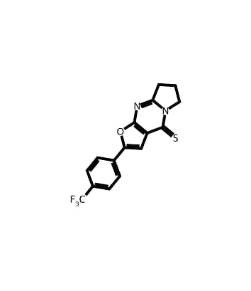 FC(F)(F)c1ccc(-c2cc3c(=S)n4c(nc3o2)CCC4)cc1